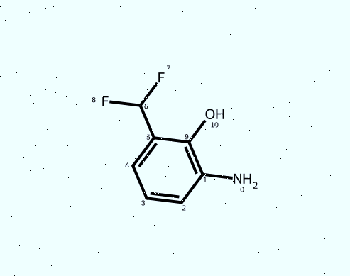 Nc1cccc(C(F)F)c1O